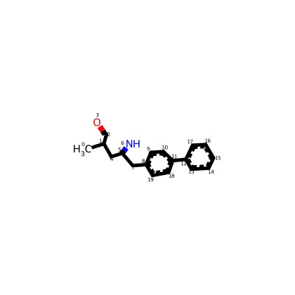 CC(C=O)CC(=N)Cc1ccc(-c2ccccc2)cc1